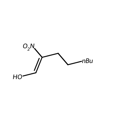 CCCCCCC(=CO)[N+](=O)[O-]